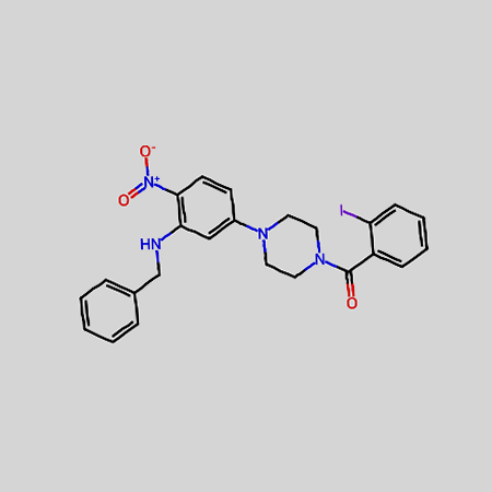 O=C(c1ccccc1I)N1CCN(c2ccc([N+](=O)[O-])c(NCc3ccccc3)c2)CC1